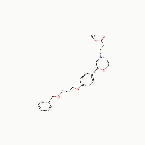 CC(C)(C)OC(=O)CCN1CCOC(c2ccc(OCCCOCc3ccccc3)cc2)C1